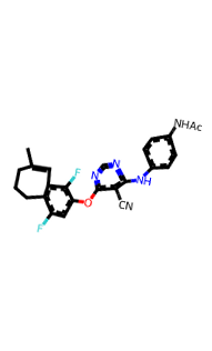 CC(=O)Nc1ccc(Nc2ncnc(Oc3cc(F)c4c(c3F)C=C(C)CCC4)c2C#N)cc1